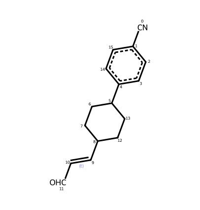 N#Cc1ccc(C2CCC(/C=C/C=O)CC2)cc1